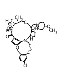 COC1CCN(C[C@@]2(O)CCC[C@H](C)[C@@H](C)S(=O)(=O)NC(=O)c3ccc4c(c3)N(CCCCc3cc(Cl)ccc3CO4)C[C@@H]3CC[C@H]32)CC1